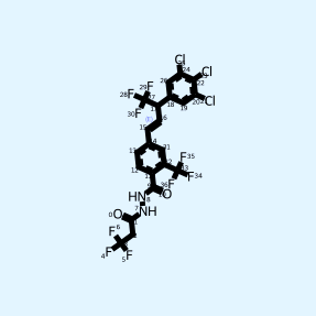 O=C(CC(F)(F)F)NNC(=O)c1ccc(/C=C/C(c2cc(Cl)c(Cl)c(Cl)c2)C(F)(F)F)cc1C(F)(F)F